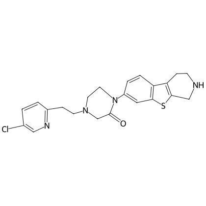 O=C1CN(CCc2ccc(Cl)cn2)CCN1c1ccc2c3c(sc2c1)CNCC3